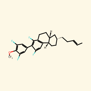 C/C=C/CC[C@@H]1CC[C@@H]2c3cc(F)c(-c4cc(F)c(OC(F)(F)F)c(F)c4)c(F)c3CC[C@@H]2C1